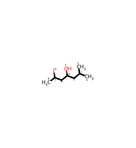 CC(C)CC(O)CC(C)I